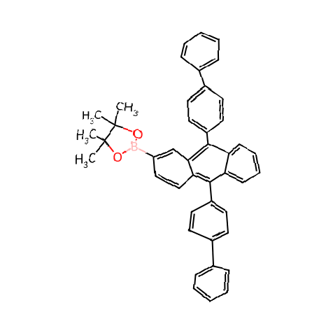 CC1(C)OB(c2ccc3c(-c4ccc(-c5ccccc5)cc4)c4ccccc4c(-c4ccc(-c5ccccc5)cc4)c3c2)OC1(C)C